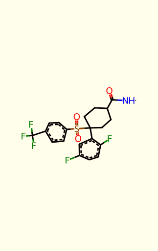 [NH]C(=O)C1CCC(c2cc(F)ccc2F)(S(=O)(=O)c2ccc(C(F)(F)F)cc2)CC1